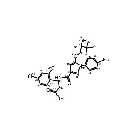 CC(C)(C)[C@](C)(O)COc1cc(C(=O)N[C@@H](CC(=O)O)c2ccc(Cl)cc2Cl)nn1-c1ccc(F)cc1